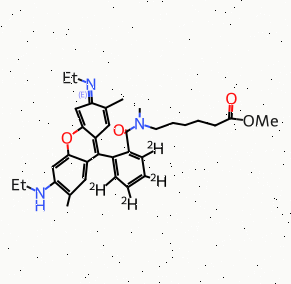 [2H]c1c([2H])c([2H])c(-c2c3cc(C)/c(=N/CC)cc-3oc3cc(NCC)c(C)cc23)c(C(=O)N(C)CCCCCC(=O)OC)c1[2H]